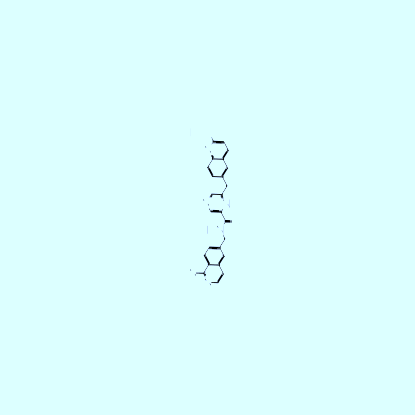 Cc1ccc2cc(Cc3cncc(C(=O)NCc4ccc5c(N)nccc5c4)n3)ccc2n1